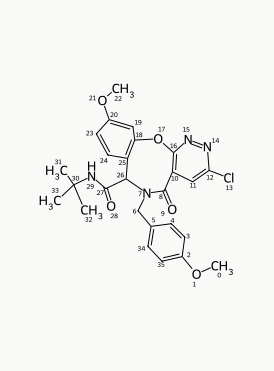 COc1ccc(CN2C(=O)c3cc(Cl)nnc3Oc3cc(OC)ccc3C2C(=O)NC(C)(C)C)cc1